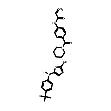 C=CC(=O)Nc1ccc(C(=O)N2CCC[C@@H](Nc3ncc(N(C)c4ccc(C(F)(F)F)cc4)s3)C2)cc1